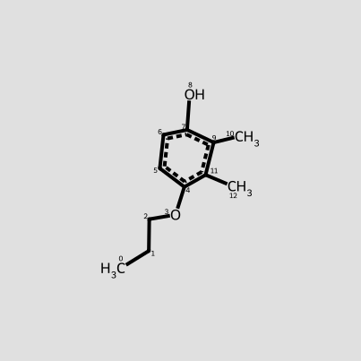 CCCOc1ccc(O)c(C)c1C